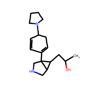 CC(O)CC1C2CNCC21C1=CCC(N2CCCC2)C=C1